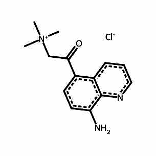 C[N+](C)(C)CC(=O)c1ccc(N)c2ncccc12.[Cl-]